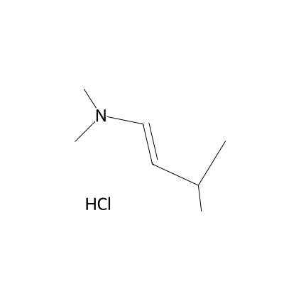 CC(C)C=CN(C)C.Cl